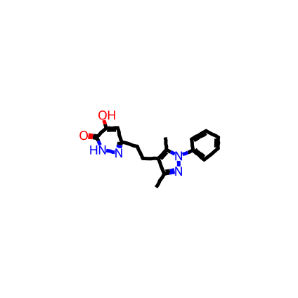 Cc1nn(-c2ccccc2)c(C)c1CCc1cc(O)c(=O)[nH]n1